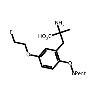 CCCCCOc1ccc(OCCF)cc1CC(C)(N)C(=O)O